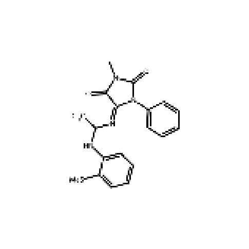 CSc1ccccc1NC(N=C1C(=O)N(C)C(=O)N1c1ccccc1)C(Cl)(Cl)Cl